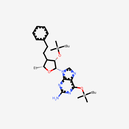 CC[C@H]1O[C@@H](n2cnc3c(O[Si](C)(C)C(C)(C)C)nc(N)nc32)[C@@H](O[Si](C)(C)C(C)(C)C)C1CCc1ccccc1